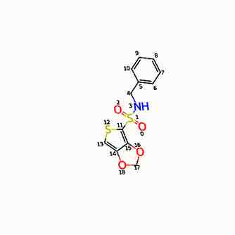 O=S(=O)(NCc1ccccc1)c1scc2c1OCO2